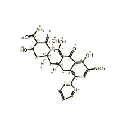 CC(=O)Nc1cc(-c2ccccn2)c2c(c1O)C(=O)C1=C(O)[C@]3(O)C(=O)C(C(N)=O)C(O)C[C@@H]3C[C@@H]1C2